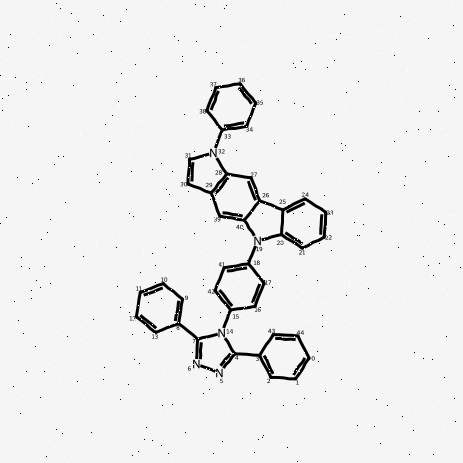 c1ccc(-c2nnc(-c3ccccc3)n2-c2ccc(-n3c4ccccc4c4cc5c(ccn5-c5ccccc5)cc43)cc2)cc1